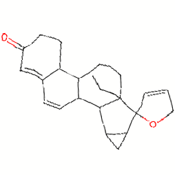 CCC12CCC3C4CCC(=O)C=C4C=CC3C1C1CC1C21C=CCO1